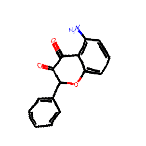 Nc1cccc2c1C(=O)C(=O)C(c1ccccc1)O2